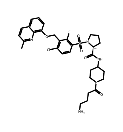 Cc1ccc2cccc(OCc3c(Cl)ccc(S(=O)(=O)N4CCC[C@H]4C(=O)NC4CCN(C(=O)CCCN)CC4)c3Cl)c2n1